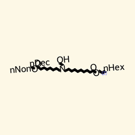 CCCCCC/C=C\COC(=O)CCCCCCCCCN(CCO)CCCCCCCC(=O)OC(CCCCCCCCC)CCCCCCCCCC